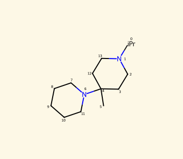 CC(C)N1CCC(C)(N2CCCCC2)CC1